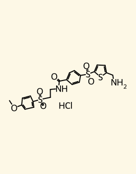 COc1ccc(S(=O)(=O)CCNC(=O)c2ccc(S(=O)(=O)c3ccc(CN)s3)cc2)cc1.Cl